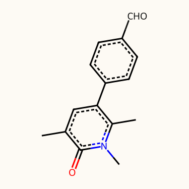 Cc1cc(-c2ccc(C=O)cc2)c(C)n(C)c1=O